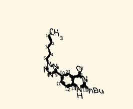 CC=CCCCn1nnc(-c2ccc3[nH]c(CCCC)nc(=O)c3c2)n1